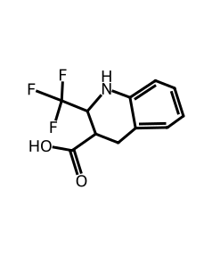 O=C(O)C1Cc2ccccc2NC1C(F)(F)F